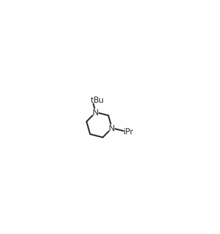 CC(C)N1CCCN(C(C)(C)C)C1